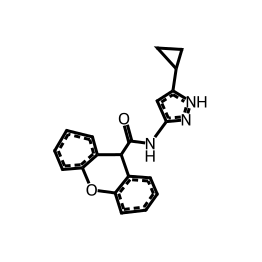 O=C(Nc1cc(C2CC2)[nH]n1)C1c2ccccc2Oc2ccccc21